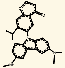 CNc1ccc2c(c1)c1cc(N(C)C)ccc1n2-c1cc2c(=O)ccoc2cc1C(C)C